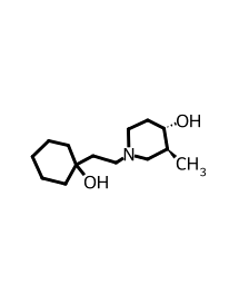 C[C@H]1CN(CCC2(O)CCCCC2)CC[C@@H]1O